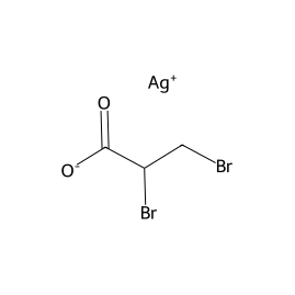 O=C([O-])C(Br)CBr.[Ag+]